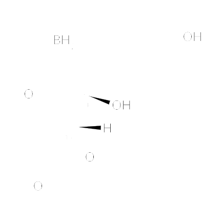 BC1OC2COCO[C@H]2[C@@]1(O)CCCO